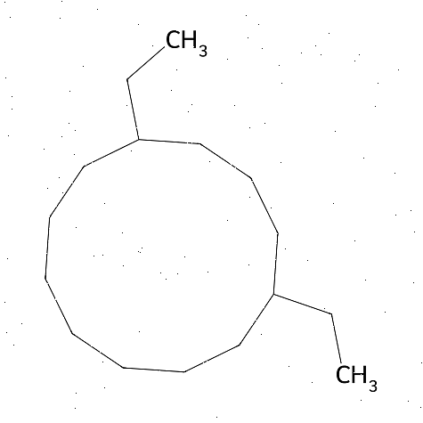 CCC1CCCCCCCC(CC)CCC1